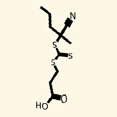 CCCC(C)(C#N)SC(=S)SCCC(=O)O